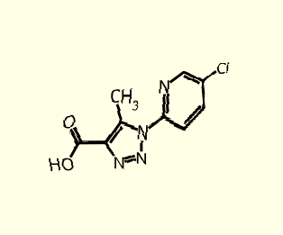 Cc1c(C(=O)O)nnn1-c1ccc(Cl)cn1